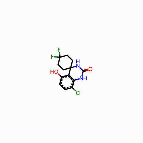 O=C1Nc2c(Cl)ccc(O)c2C2(CCC(F)(F)CC2)N1